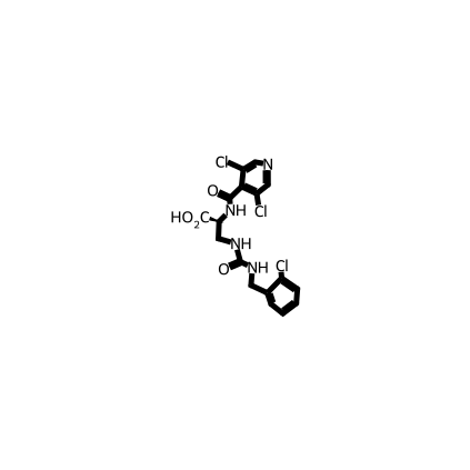 O=C(NCc1ccccc1Cl)NC[C@H](NC(=O)c1c(Cl)cncc1Cl)C(=O)O